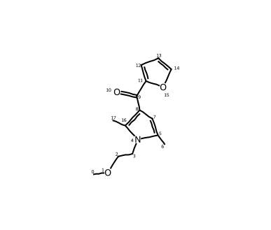 COCCn1c(C)cc(C(=O)c2ccco2)c1C